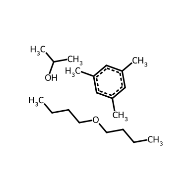 CC(C)O.CCCCOCCCC.Cc1cc(C)cc(C)c1